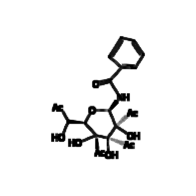 CC(=O)C(O)[C@H]1O[C@@H](NC(=O)c2ccccc2)[C@](O)(C(C)=O)[C@](O)(C(C)=O)[C@@]1(O)C(C)=O